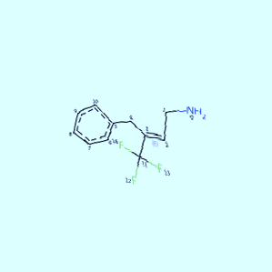 NC/C=C(\Cc1ccccc1)C(F)(F)F